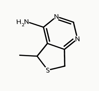 CC1SCc2ncnc(N)c21